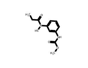 CCC(=O)N(S)c1cccc(NC(=O)OC)c1